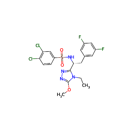 CCn1c(OC)nnc1[C@@H](Cc1cc(F)cc(F)c1)NS(=O)(=O)c1ccc(Cl)c(Cl)c1